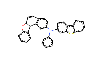 C1=CC2Oc3ccccc3C2c2cc(N(c3ccccc3)c3ccc4c(c3)sc3ccccc34)ccc21